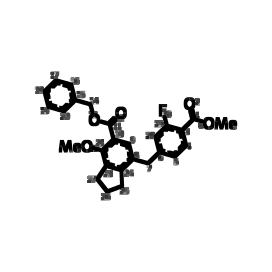 COC(=O)c1ccc(Cc2cc(C(=O)OCc3ccccc3)c(OC)c3c2CCC3)cc1F